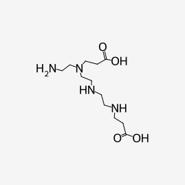 NCCN(CCNCCNCCC(=O)O)CCC(=O)O